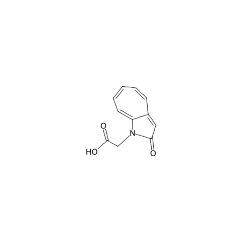 O=C(O)Cn1c2cccccc-2cc1=O